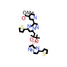 COC(=O)c1ccnc(-c2cnn3c(CC4(C)OB(c5cnn6ccc(-c7cccs7)nc56)OC4(C)C)cc(-c4cccs4)nc23)c1